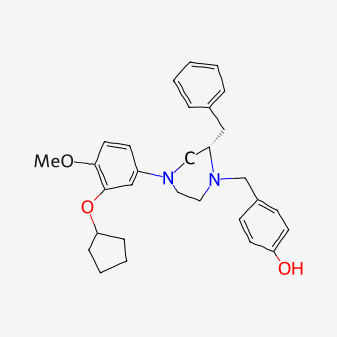 COc1ccc(N2CCN(Cc3ccc(O)cc3)[C@@H](Cc3ccccc3)C2)cc1OC1CCCC1